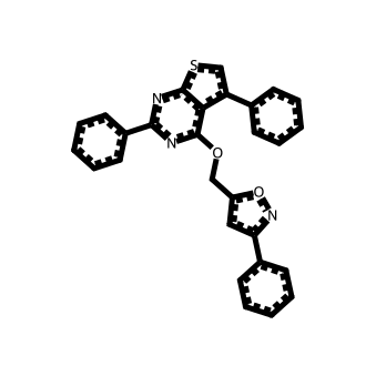 c1ccc(-c2cc(COc3nc(-c4ccccc4)nc4scc(-c5ccccc5)c34)on2)cc1